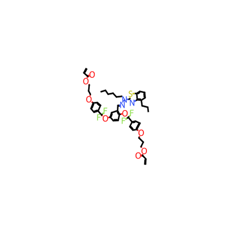 C=CC(=O)OCCCOc1ccc(C(F)(F)Oc2ccc(OC(F)(F)c3ccc(OCCCOC(=O)C=C)cc3)c(/C=N/N(CCCCCC)c3nc4c(CCC)cccc4s3)c2)cc1